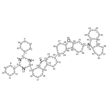 c1ccc(-c2nc(-c3ccccc3)nc(-c3cccc4c3sc3cc(-c5ccc6oc7cc(-n8c9ccccc9c9ccccc98)ccc7c6c5)ccc34)n2)cc1